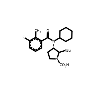 Cc1c(F)cccc1C(=O)N(C1CCCCC1)[C@H]1CCN(C(=O)O)C1C(C)(C)C